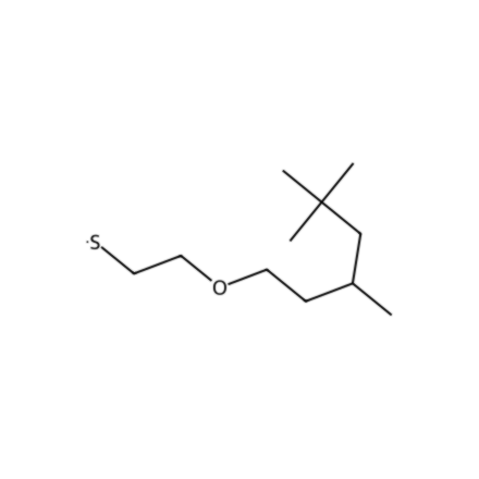 CC(CCOCC[S])CC(C)(C)C